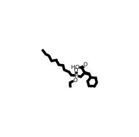 CCCCCCCCCCP(=O)(C/C(=C\C1CCCCC1)C(=O)O)OCC